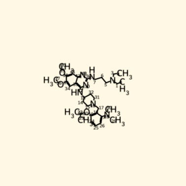 CCN(CC)CCCNc1nc(NC2CCN(Cc3c(OC(C)C)cccc3N(C)C)CC2)c2cc(OC)c(OC)cc2n1